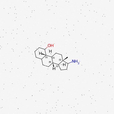 C[C@]12CC[C@@H]3[C@H]4C(O)CCCC4CC[C@H]3[C@@H]1CCC2N